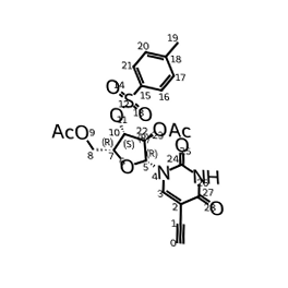 C#Cc1cn([C@@H]2O[C@H](COC(C)=O)[C@H](OS(=O)(=O)c3ccc(C)cc3)[C@H]2OC(C)=O)c(=O)[nH]c1=O